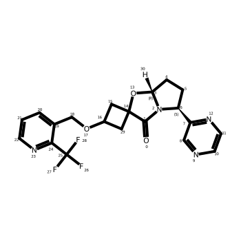 O=C1N2[C@@H](CC[C@H]2c2cnccn2)OC12CC(OCc1cccnc1C(F)(F)F)C2